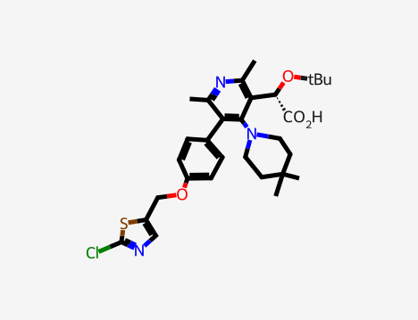 Cc1nc(C)c([C@H](OC(C)(C)C)C(=O)O)c(N2CCC(C)(C)CC2)c1-c1ccc(OCc2cnc(Cl)s2)cc1